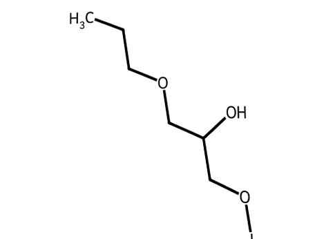 CCCOCC(O)COI